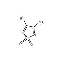 CC(C)C1=NS(=O)(=O)N=C1N